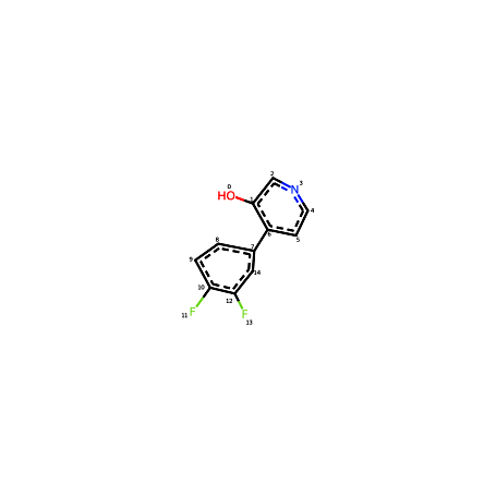 Oc1cnccc1-c1ccc(F)c(F)c1